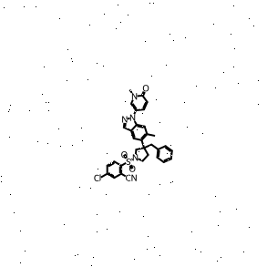 Cc1cc2c(cnn2-c2ccc(=O)n(C)c2)cc1C1(Cc2ccccc2)CCN(S(=O)(=O)c2ccc(Cl)cc2C#N)C1